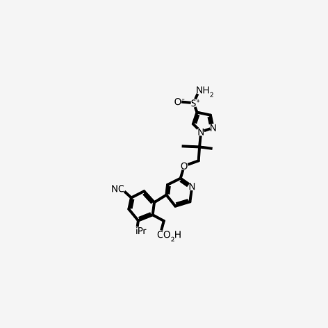 CC(C)c1cc(C#N)cc(-c2ccnc(OCC(C)(C)n3cc([S+](N)[O-])cn3)c2)c1CC(=O)O